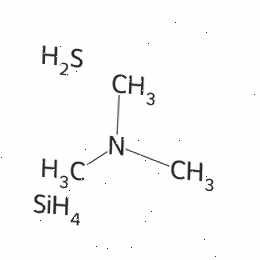 CN(C)C.S.[SiH4]